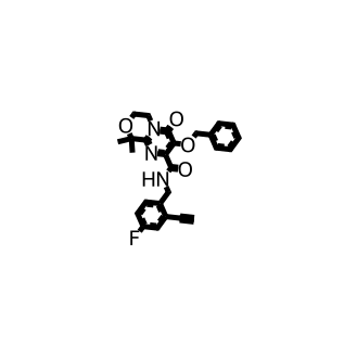 C#Cc1cc(F)ccc1CNC(=O)c1nc2n(c(=O)c1OCc1ccccc1)CCOC2(C)C